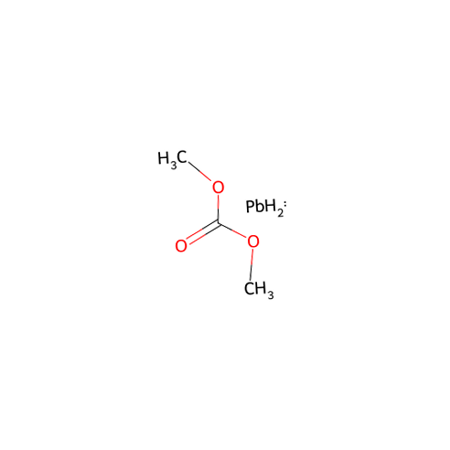 COC(=O)OC.[PbH2]